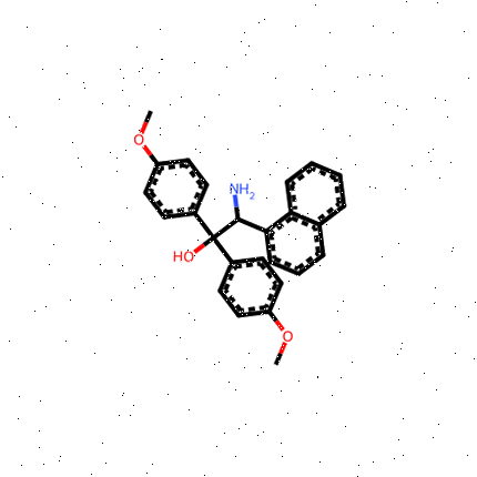 COc1ccc(C(O)(c2ccc(OC)cc2)C(N)c2cccc3ccccc23)cc1